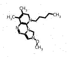 CCCCCN1CC(C)=C(C)C2=C1N1CN(OC)C=C1C=N2